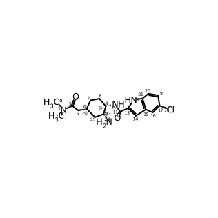 CN(C)C(=O)C[C@H]1CC[C@H](NC(=O)c2cc3cc(Cl)ccc3[nH]2)[C@H](N)C1